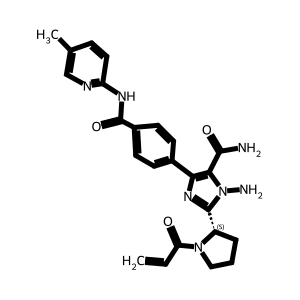 C=CC(=O)N1CCC[C@H]1c1nc(-c2ccc(C(=O)Nc3ccc(C)cn3)cc2)c(C(N)=O)n1N